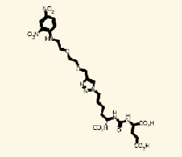 O=C(O)CCC(NC(=O)N[C@@H](CCCCn1cc(COCCOCCNc2ccc([N+](=O)[O-])cc2[N+](=O)[O-])nn1)C(=O)O)C(=O)O